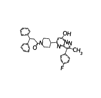 Cc1nn2c(O)cc(C3CCN(C(=O)CC(c4ccccc4)c4ccccc4)CC3)nc2c1-c1ccc(F)cc1